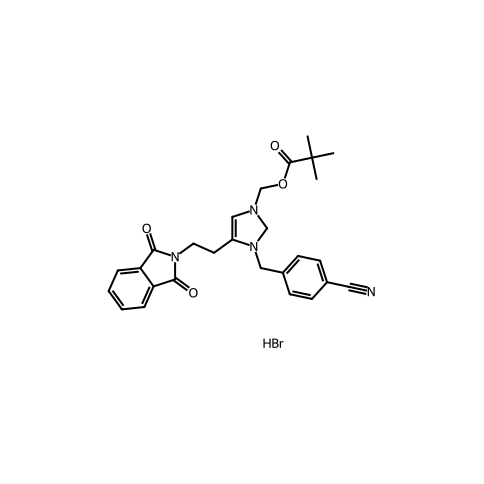 Br.CC(C)(C)C(=O)OCN1C=C(CCN2C(=O)c3ccccc3C2=O)N(Cc2ccc(C#N)cc2)C1